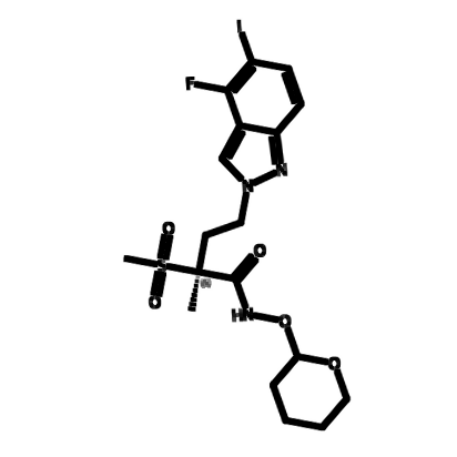 C[C@](CCn1cc2c(F)c(I)ccc2n1)(C(=O)NOC1CCCCO1)S(C)(=O)=O